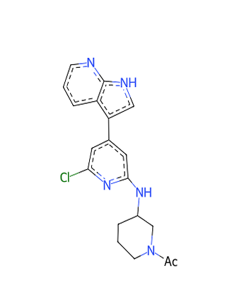 CC(=O)N1CCCC(Nc2cc(-c3c[nH]c4ncccc34)cc(Cl)n2)C1